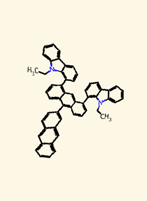 CCn1c2ccccc2c2cccc(-c3cccc4c(-c5ccc6cc7ccccc7cc6c5)c5cccc(-c6cccc7c8ccccc8n(CC)c67)c5cc34)c21